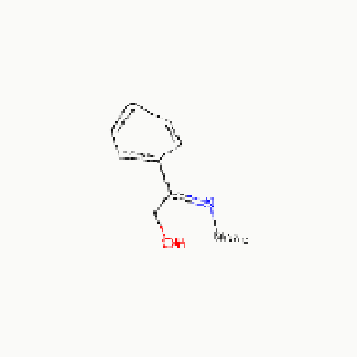 CC(=O)NN=C(CO)c1ccccc1